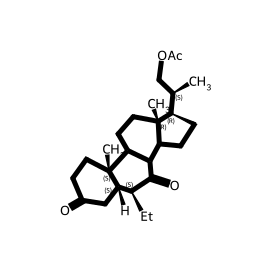 CC[C@@H]1C(=O)C2C3CC[C@H]([C@H](C)COC(C)=O)[C@@]3(C)CCC2[C@@]2(C)CCC(=O)C[C@@H]12